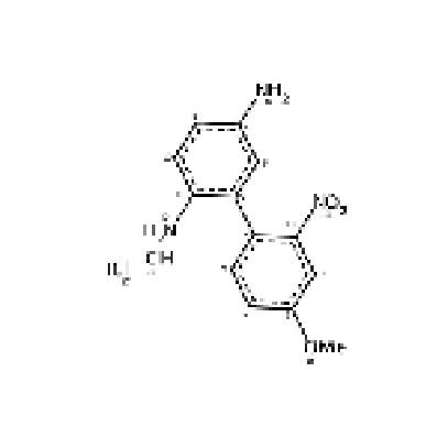 COc1ccc(-c2cc(N)ccc2N)c([N+](=O)[O-])c1.Cl.Cl